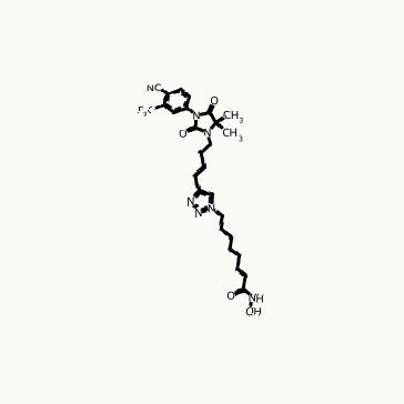 CC1(C)C(=O)N(c2ccc(C#N)c(C(F)(F)F)c2)C(=O)N1CCCCc1cn(CCCCCCCC(=O)NO)nn1